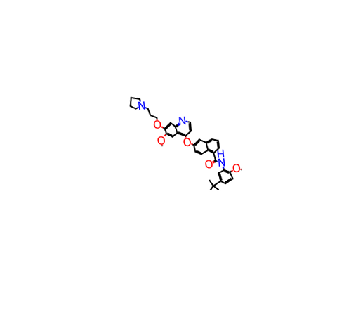 COc1ccc(C(C)(C)C)cc1NC(=O)c1cccc2cc(Oc3ccnc4cc(OCCCN5CCCC5)c(OC)cc34)ccc12